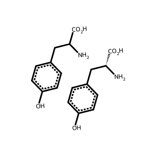 NC(Cc1ccc(O)cc1)C(=O)O.N[C@H](Cc1ccc(O)cc1)C(=O)O